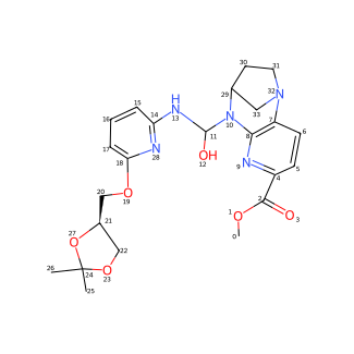 COC(=O)c1ccc2c(n1)N(C(O)Nc1cccc(OC[C@H]3COC(C)(C)O3)n1)C1CCN2C1